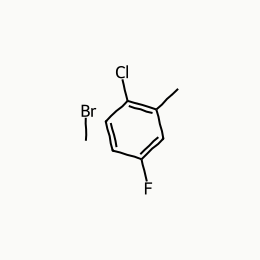 CBr.Cc1cc(F)ccc1Cl